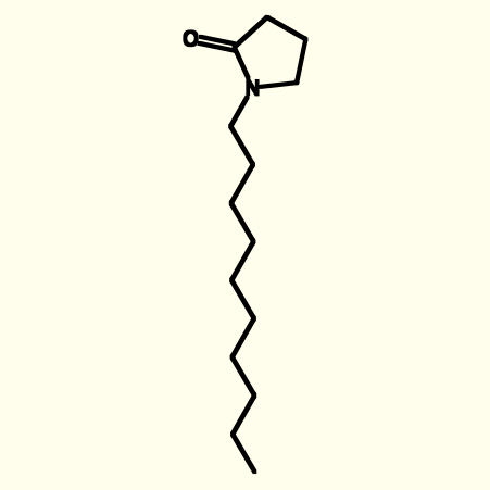 CCCCCCCCCCN1CCCC1=O